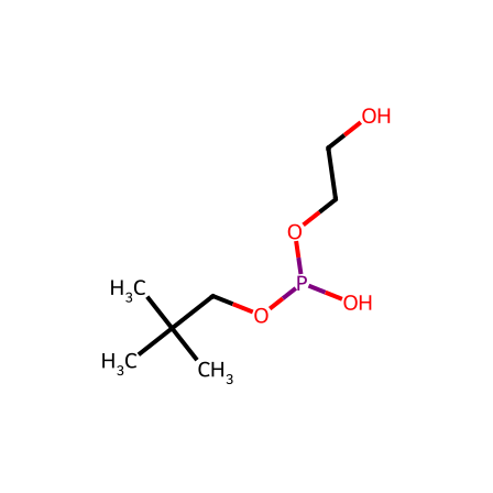 CC(C)(C)COP(O)OCCO